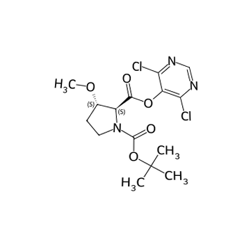 CO[C@H]1CCN(C(=O)OC(C)(C)C)[C@@H]1C(=O)Oc1c(Cl)ncnc1Cl